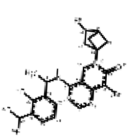 CC(Nc1ncnc2c(Br)c(=O)n(C34CC(F)C(C3)C4)cc12)c1cccc(C(F)F)c1F